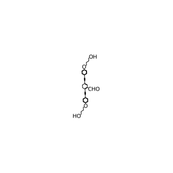 O=CC1=C(C#Cc2ccc(OCCCCO)cc2)CCC(C#Cc2ccc(OCCCCO)cc2)=C1